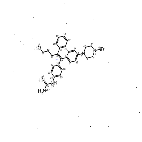 CC(C)N1CCN(c2ccc(/C(=C(/CCCO)c3ccccc3)c3ccc(NC(=N)N)cc3)cc2)CC1